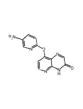 Nc1ccc(Oc2ccnc3[nH]c(=O)cnc23)nc1